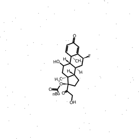 CCCCC(=O)O[C@]1(C(=O)CO)CC[C@H]2[C@@H]3C[C@H](F)C4=CC(=O)C=C[C@]4(C)[C@H]3C(O)C[C@@]21C